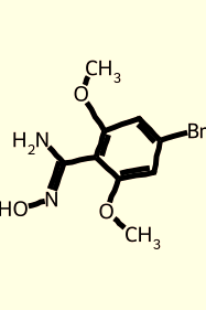 COc1cc(Br)cc(OC)c1C(N)=NO